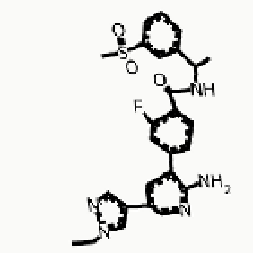 CCn1cc(-c2cnc(N)c(-c3ccc(C(=O)NC(C)c4cccc(S(C)(=O)=O)c4)c(F)c3)c2)cn1